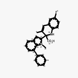 CC1=Cc2cc(F)ccc2NC1(C(=O)O)c1cc2cccc(-c3ccccc3)c2n1C